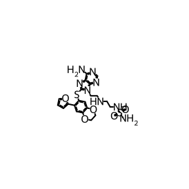 Nc1ncnc2c1nc(Sc1cc3c(cc1-c1ccco1)OCCO3)n2CCNCCNS(N)(=O)=O